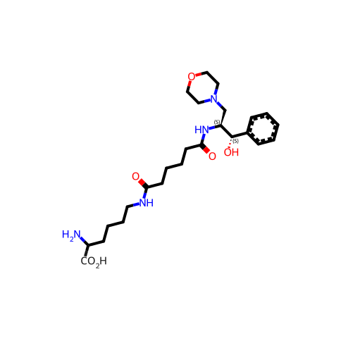 NC(CCCCNC(=O)CCCCC(=O)N[C@@H](CN1CCOCC1)[C@@H](O)c1ccccc1)C(=O)O